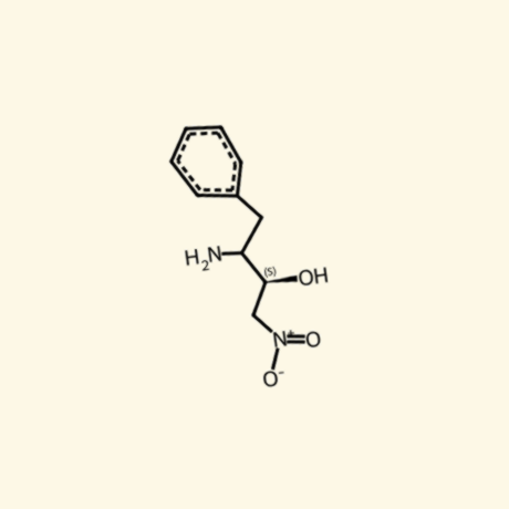 NC(Cc1ccccc1)[C@@H](O)C[N+](=O)[O-]